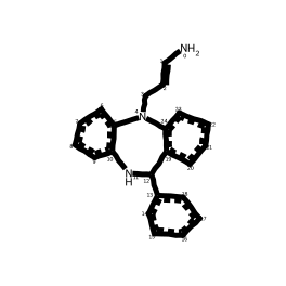 NC=CCN1c2ccccc2NC(c2ccccc2)c2ccccc21